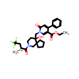 CCOC(=O)c1cn(CC2(O)CCN(C(=O)[C@H](C)CC(F)(F)F)CC23CCCC3)c(=O)cc1-c1ccccc1